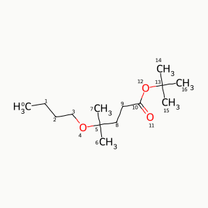 CCCCOC(C)(C)CCC(=O)OC(C)(C)C